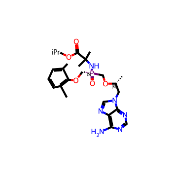 Cc1cccc(C)c1OC[P@@](=O)(CO[C@H](C)Cn1cnc2c(N)ncnc21)NC(C)(C)C(=O)OC(C)C